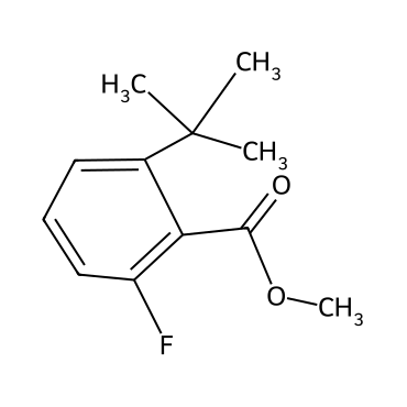 COC(=O)c1c(F)cccc1C(C)(C)C